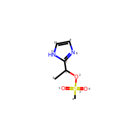 CC(OS(C)(=O)=O)c1ncc[nH]1